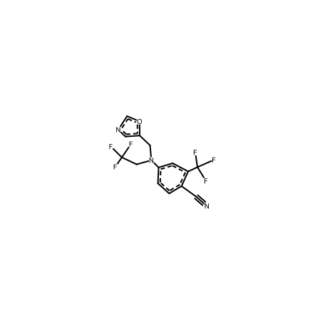 N#Cc1ccc(N(Cc2cnco2)CC(F)(F)F)cc1C(F)(F)F